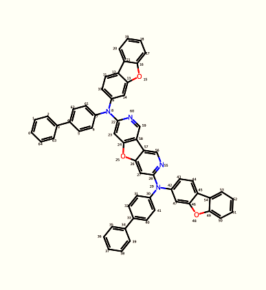 c1ccc(-c2ccc(N(c3ccc4c(c3)oc3ccccc34)c3cc4oc5cc(N(c6ccc(-c7ccccc7)cc6)c6ccc7c(c6)oc6ccccc67)ncc5c4cn3)cc2)cc1